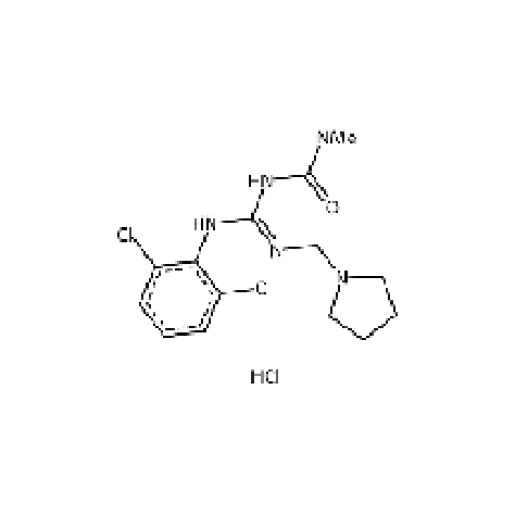 CNC(=O)NC(=NCN1CCCC1)Nc1c(Cl)cccc1Cl.Cl